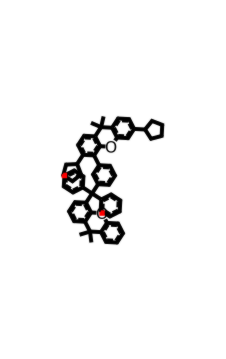 CC1(C)c2ccccc2Oc2c1cccc2C(c1ccccc1)(c1ccccc1)c1cccc(-c2c(C3CCCC3)ccc3c2Oc2cc(C4CCCC4)ccc2C3(C)C)c1